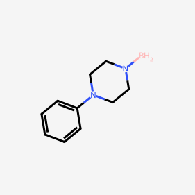 BN1CCN(c2ccccc2)CC1